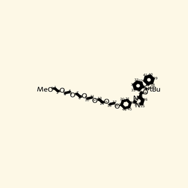 COCCOCCOCCOCCOCCOCCO[C@H]1CC[C@H](c2nccc(CO[Si](c3ccccc3)(c3ccccc3)C(C)(C)C)n2)CC1